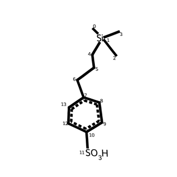 C[Si](C)(C)CCCc1ccc(S(=O)(=O)O)cc1